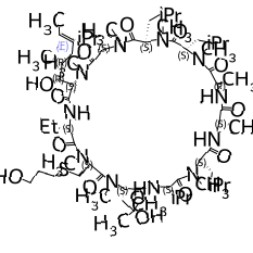 C/C=C/C[C@@H](C)[C@@H](O)[C@H]1C(=O)N[C@@H](CC)C(=O)N(C)[C@H](CSCCCO)C(=O)N(C)[C@@H](CC(C)(C)O)C(=O)N[C@@H](C(C)C)C(=O)N(C)[C@@H](CC(C)C)C(=O)N[C@@H](C)C(=O)N[C@H](C)C(=O)N(C)[C@@H](CC(C)C)C(=O)N(C)[C@@H](CC(C)C)C(=O)N(C)[C@@H](C(C)C)C(=O)N1C